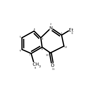 CCC1=Nc2cccc(C)c2C(=O)C1